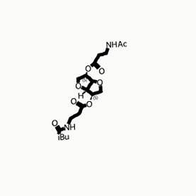 CCC(C)C(=O)NCCC(=O)O[C@H]1COC2[C@@H](OC(=O)CCNC(C)=O)CO[C@@H]21